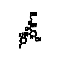 N#CC1=NC(Nc2ccc(I)cc2F)C(C(=O)NOCCO)C=C1